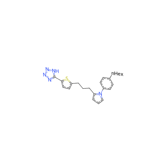 CCCCCCc1ccc(-n2cccc2CCCc2ccc(-c3nnn[nH]3)s2)cc1